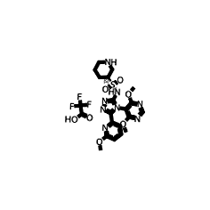 COc1cccc(-c2nnc(NS(=O)(=O)[C@H]3CCCNC3)n2-c2c(OC)ncnc2OC)n1.O=C(O)C(F)(F)F